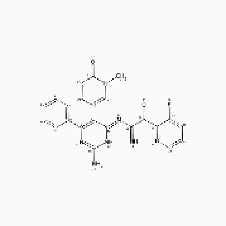 Cn1cc(-c2c(-c3ccccc3)nc(N)[nH]/c2=N\C(=N)C(=O)c2ncccc2F)ccc1=O